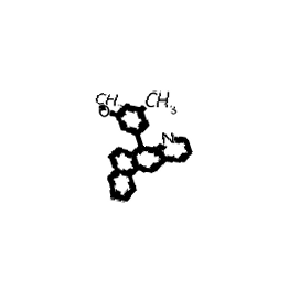 COc1cc(C)cc(-c2c3ccc4ccccc4c3cc3cccnc23)c1